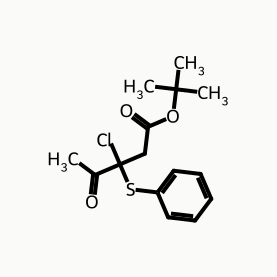 CC(=O)C(Cl)(CC(=O)OC(C)(C)C)Sc1ccccc1